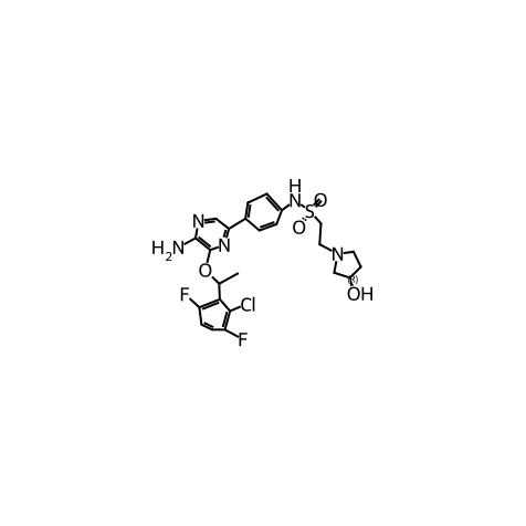 CC(Oc1nc(-c2ccc(NS(=O)(=O)CCN3CC[C@@H](O)C3)cc2)cnc1N)c1c(F)ccc(F)c1Cl